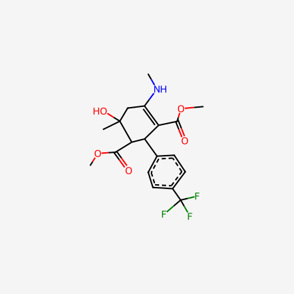 CNC1=C(C(=O)OC)C(c2ccc(C(F)(F)F)cc2)C(C(=O)OC)C(C)(O)C1